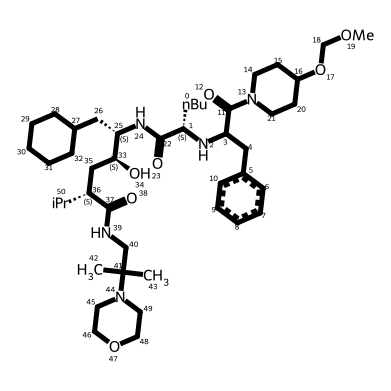 CCCC[C@H](NC(Cc1ccccc1)C(=O)N1CCC(OCOC)CC1)C(=O)N[C@@H](CC1CCCCC1)[C@@H](O)C[C@H](C(=O)NCC(C)(C)N1CCOCC1)C(C)C